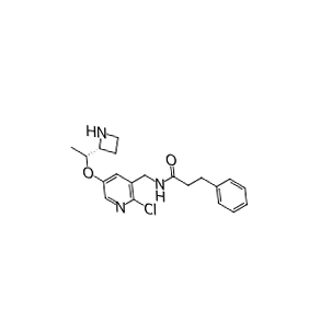 CC(Oc1cnc(Cl)c(CNC(=O)CCc2ccccc2)c1)[C@H]1CCN1